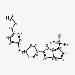 CCSc1ncc(CN2CCN(c3nc4cccc(C(F)(F)F)c4o3)CC2)cn1